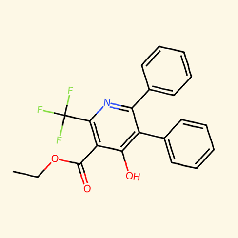 CCOC(=O)c1c(C(F)(F)F)nc(-c2ccccc2)c(-c2ccccc2)c1O